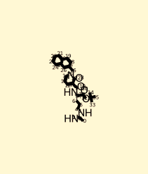 CC(=N)NCCC[C@H](NC(=O)c1cccn(Cc2ccc3ccccc3c2)c1=O)C(=O)OC(C)(C)C